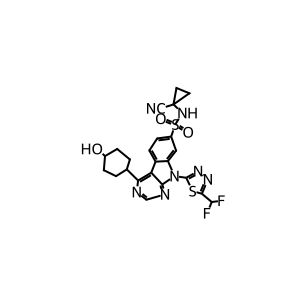 N#CC1(NS(=O)(=O)c2ccc3c4c(C5CCC(O)CC5)ncnc4n(-c4nnc(C(F)F)s4)c3c2)CC1